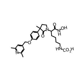 Cc1cc(COc2ccc(C3(C)CCN(C(CCCCNC(=O)O)C(=O)NO)C3=O)cc2)cc(C)n1